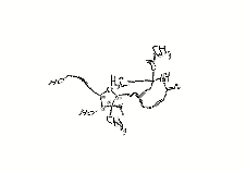 COC1(C)NC(=O)C=CN1[C@@H]1O[C@H](CO)[C@@H](O)[C@@]1(C)F